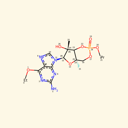 CCOc1nc(N)nc2c1ncn2[C@@H]1O[C@]2(F)COP(=O)(OC(C)C)OC2[C@@]1(C)O